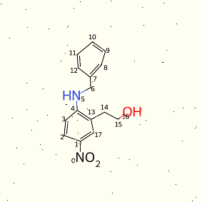 O=[N+]([O-])c1ccc(NCc2ccccc2)c(CCO)c1